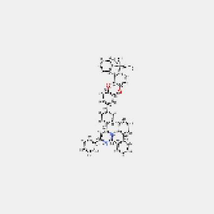 CC1(C)c2ccccc2-c2c1ccc1c2Oc2ccc(-c3ccc(-c4cc(-c5ccccc5)nc(-c5ccccc5-c5ccccc5)n4)cc3)cc2O1